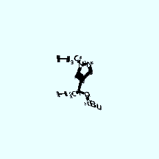 CC(OC(C)(C)C)c1cnn(C)c1